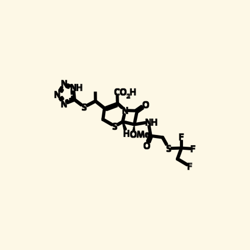 CO[C@@]1(NC(=O)CSC(F)(F)CF)C(=O)N2C(C(=O)O)=C(C(C)Sc3nnn[nH]3)CS[C@H]21